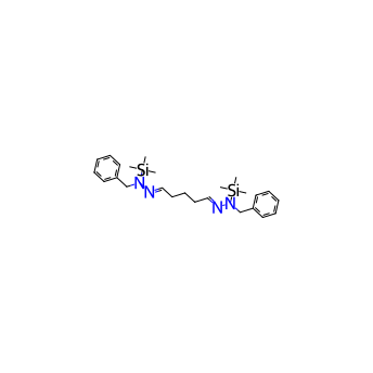 C[Si](C)(C)N(Cc1ccccc1)N=CCCCC=NN(Cc1ccccc1)[Si](C)(C)C